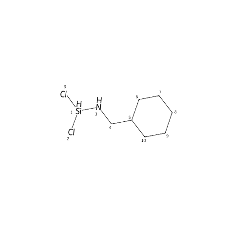 Cl[SiH](Cl)NCC1CCCCC1